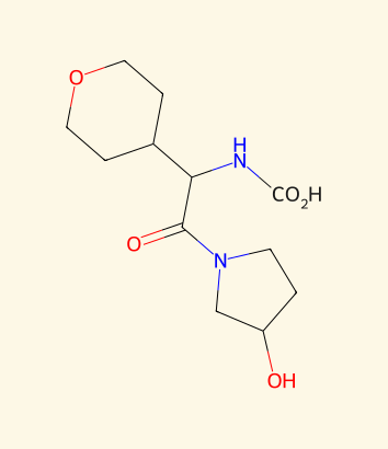 O=C(O)NC(C(=O)N1CCC(O)C1)C1CCOCC1